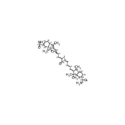 CN1C(=CC=CC=C2CC(=CC=CC=C3N(C)c4ccc(C(N)=O)cc4C3(C)C)C2=O)C(C)(C)c2cc(C(N)=O)ccc21